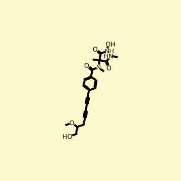 CNC(=O)C(C)(C(=O)NO)N(C)C(=O)c1ccc(C#CC#CCC(CO)OC)cc1